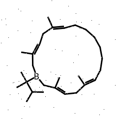 C/C1=C\CCCCCC/C=C(\C)C/C=C(\C)CB(C(C)(C)C(C)C)C/C(C)=C/C1